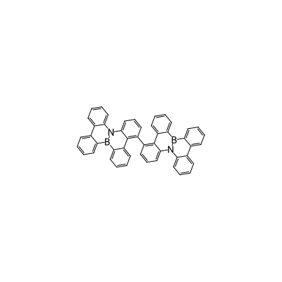 c1ccc2c(c1)B1c3ccccc3-c3c(-c4cccc5c4-c4ccccc4B4c6ccccc6-c6ccccc6N45)cccc3N1c1ccccc1-2